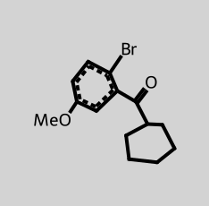 COc1ccc(Br)c(C(=O)C2CCCCC2)c1